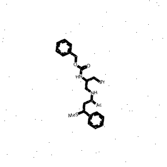 CSC(CC(NCC(CC(C)C)NC(=O)OCc1ccccc1)C(C)=O)c1ccccc1